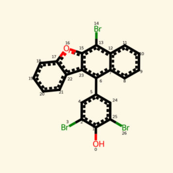 Oc1c(Br)cc(-c2c3ccccc3c(Br)c3oc4ccccc4c23)cc1Br